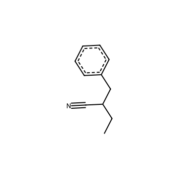 CCC(C#N)Cc1ccccc1